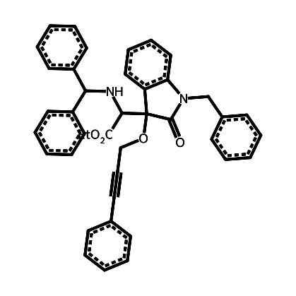 CCOC(=O)C(NC(c1ccccc1)c1ccccc1)C1(OCC#Cc2ccccc2)C(=O)N(Cc2ccccc2)c2ccccc21